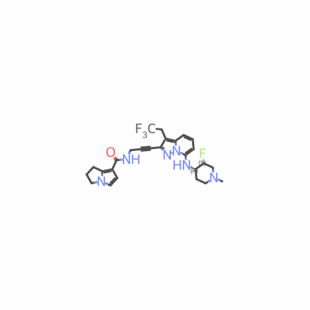 CN1CC[C@@H](Nc2cccc3c(CC(F)(F)F)c(C#CCNC(=O)c4ccn5c4CCC5)nn23)[C@@H](F)C1